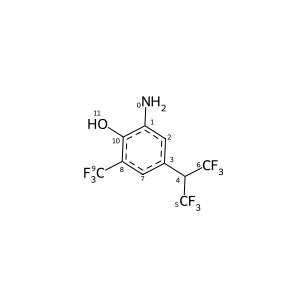 Nc1cc(C(C(F)(F)F)C(F)(F)F)cc(C(F)(F)F)c1O